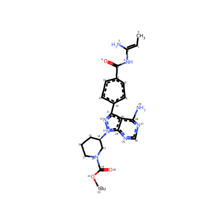 C/C=C(\N)NC(=O)c1ccc(-c2nn([C@@H]3CCCN(C(=O)OC(C)(C)C)C3)c3ncnc(N)c23)cc1